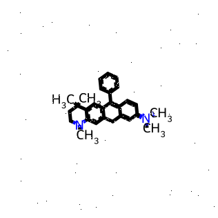 CN1CCC(C)(C)c2cc3c(cc21)CC1=CC(=[N+](C)C)C=CC1=C3c1ccccc1